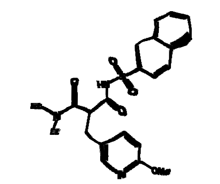 CCN(CC)C(=O)C(Cc1ccc(OC)nc1)C(=O)NS(=O)(=O)c1ccc2ccccc2c1